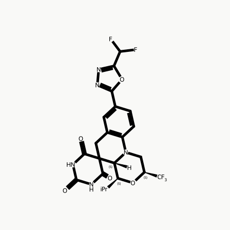 CC(C)[C@@H]1O[C@H](C(F)(F)F)CN2c3ccc(-c4nnc(C(F)F)o4)cc3CC3(C(=O)NC(=O)NC3=O)[C@@H]12